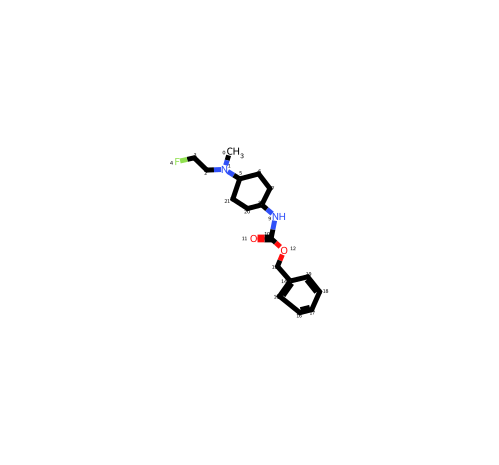 CN(CCF)C1CCC(NC(=O)OCc2ccccc2)CC1